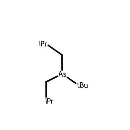 CC(C)C[As](CC(C)C)C(C)(C)C